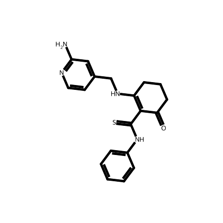 Nc1cc(CNC2=C(C(=S)Nc3ccccc3)C(=O)CCC2)ccn1